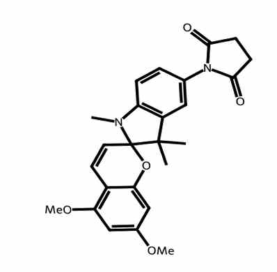 COc1cc(OC)c2c(c1)OC1(C=C2)N(C)c2ccc(N3C(=O)CCC3=O)cc2C1(C)C